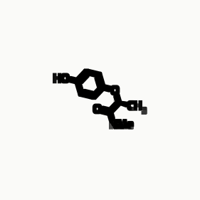 CNC(=O)[C@H](C)Oc1ccc(O)cc1